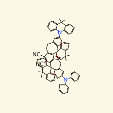 CC1(C)c2ccccc2N(c2ccc3c(c2)CCc2c(C#N)c(C#N)c4c(c2C32c3ccccc3C(C)(C)c3ccccc32)CCc2cc(N(c3ccccc3)c3ccccc3)ccc2C42c3ccccc3C(C)(C)c3ccccc32)c2ccccc21